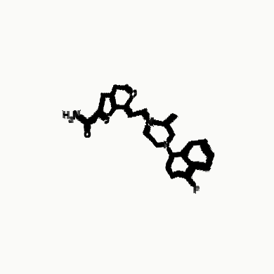 CC1CN(c2ccc(F)c3ccccc23)CCN1CCC1OCCc2cc(C(N)=O)sc21